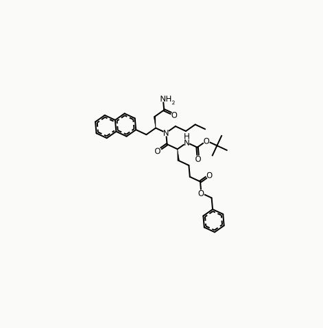 CCCCN(C(=O)[C@H](CCCC(=O)OCc1ccccc1)NC(=O)OC(C)(C)C)[C@H](CC(N)=O)Cc1ccc2ccccc2c1